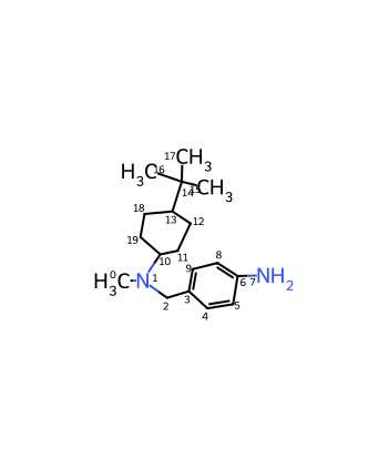 CN(Cc1ccc(N)cc1)C1CCC(C(C)(C)C)CC1